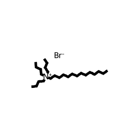 CCCCCCCCCCCCCC[N+](CCCC)(CCCC)CCCC.[Br-]